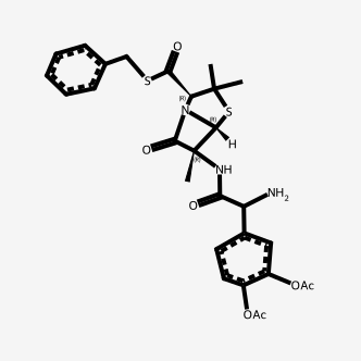 CC(=O)Oc1ccc(C(N)C(=O)N[C@]2(C)C(=O)N3[C@@H](C(=O)SCc4ccccc4)C(C)(C)S[C@@H]32)cc1OC(C)=O